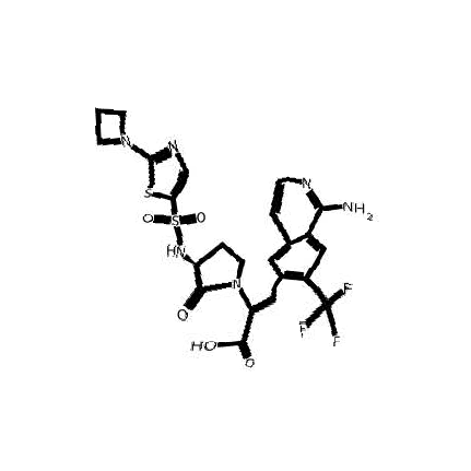 Nc1nccc2cc(CC(C(=O)O)N3CC[C@H](NS(=O)(=O)c4cnc(N5CCC5)s4)C3=O)c(C(F)(F)F)cc12